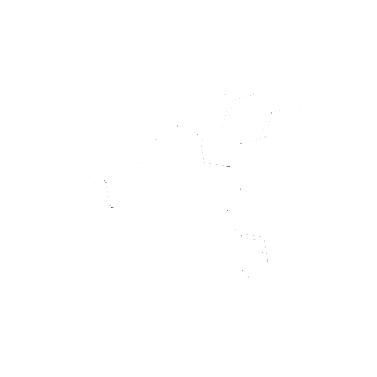 CCOC(=O)CCN1CC(CCn2ccnc2)c2cc(O)ccc21.O=C(O)C(=O)O